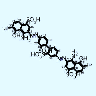 Nc1c(/N=N/c2ccc(-c3ccc(/N=N/c4cc(S(=O)(=O)O)c5ccc(I)c(O)c5c4N)cc3S(=O)(=O)O)c(S(=O)(=O)O)c2)cc(S(=O)(=O)O)c2ccc(I)c(O)c12